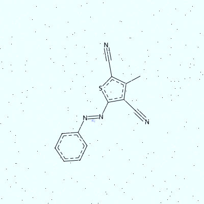 Cc1c(C#N)sc(/N=N/c2ccccc2)c1C#N